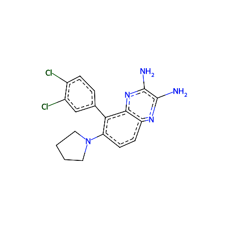 Nc1nc2ccc(N3CCCC3)c(-c3ccc(Cl)c(Cl)c3)c2nc1N